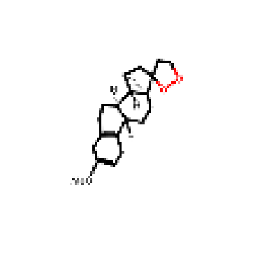 CC[C@]12CC[C@@H]3C4=C(CC[C@H]3[C@@H]1CCC21CCOO1)CC(OC)=CC4